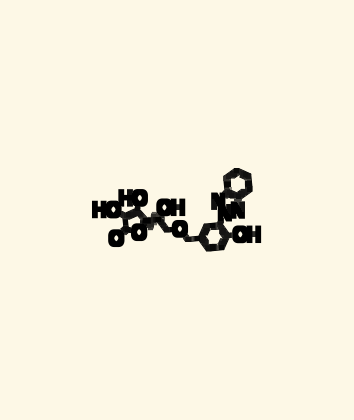 O=C1O[C@H]([C@H](O)COCc2ccc(O)c(-n3nc4ccccc4n3)c2)C(O)=C1O